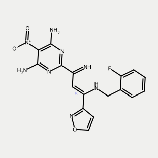 N=C(/C=C(\NCc1ccccc1F)c1ccon1)c1nc(N)c([N+](=O)[O-])c(N)n1